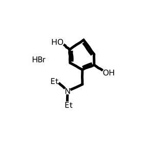 Br.CCN(CC)Cc1cc(O)ccc1O